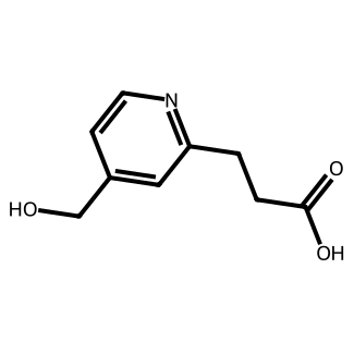 O=C(O)CCc1cc(CO)ccn1